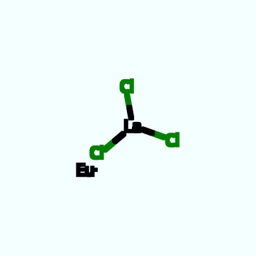 [Cl][La]([Cl])[Cl].[Eu]